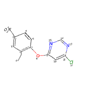 Cc1cc([N+](=O)[O-])ccc1Oc1cc(Cl)ncn1